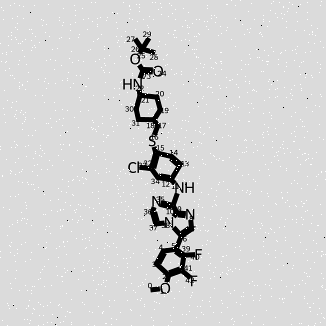 COc1ccc(-c2cnc3c(Nc4ccc(SCC5CCC(NC(=O)OC(C)(C)C)CC5)c(Cl)c4)nccn23)c(F)c1F